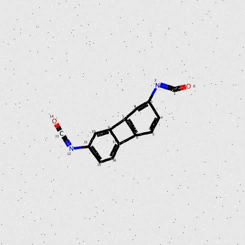 O=C=Nc1ccc2c(c1)-c1cc(N=C=O)ccc1-2